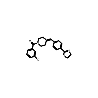 O=C(c1cccc(Cl)c1)N1CCC(=Cc2ccc(C3=NCCO3)cc2)CC1